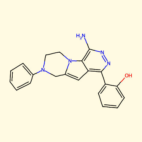 Nc1nnc(-c2ccccc2O)c2cc3n(c12)CCN(c1ccccc1)C3